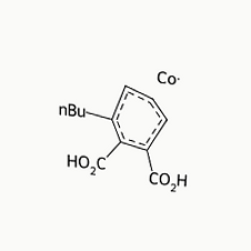 CCCCc1cccc(C(=O)O)c1C(=O)O.[Co]